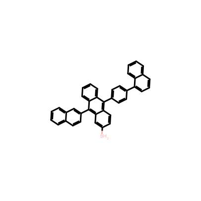 Bc1ccc2c(-c3ccc(-c4cccc5ccccc45)cc3)c3ccccc3c(-c3ccc4ccccc4c3)c2c1